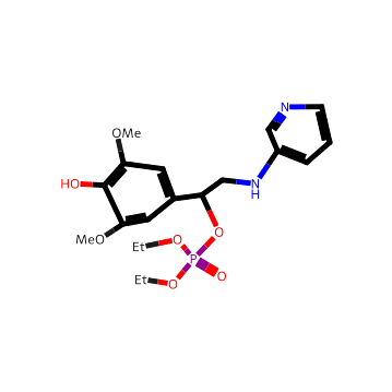 CCOP(=O)(OCC)OC(CNc1cccnc1)c1cc(OC)c(O)c(OC)c1